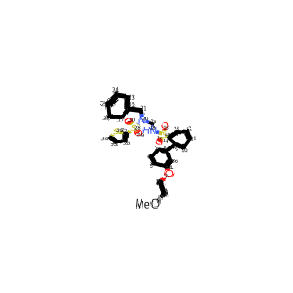 COCCOc1cccc(-c2ccccc2S(=O)(=O)NCN(Cc2ccccc2)S(=O)(=O)c2cccs2)c1